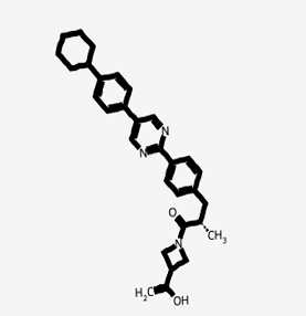 C=C(O)C1CN(C(=O)[C@@H](C)Cc2ccc(-c3ncc(-c4ccc(C5CCCCC5)cc4)cn3)cc2)C1